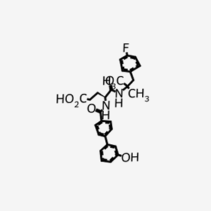 CC(C)(Cc1ccc(F)cc1)NC(=O)[C@H](CCC(=O)O)NC(=O)c1ccc(-c2cccc(O)c2)cc1